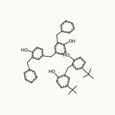 CC(C)(C)c1ccc(O)c(Cc2cc(C(C)(C)C)ccc2O)c1.Oc1ccc(Cc2ccc(O)c(Cc3ccccc3)c2)cc1Cc1ccccc1